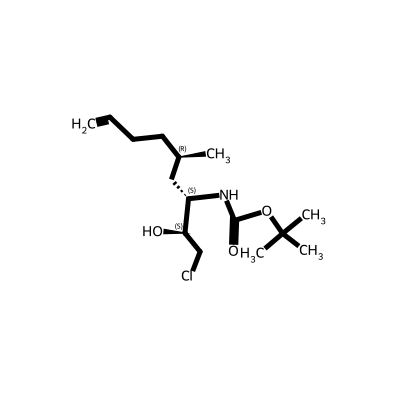 C=CCC[C@@H](C)C[C@H](NC(=O)OC(C)(C)C)[C@H](O)CCl